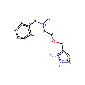 CN(CCOCc1ccnn1C)Cc1ccccc1